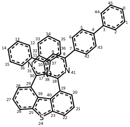 c1ccc(-c2ccc(-c3cc(-c4ccccc4)nc(-c4cccc5sc6cccc(-c7nc8ccccc8o7)c6c45)n3)cc2)cc1